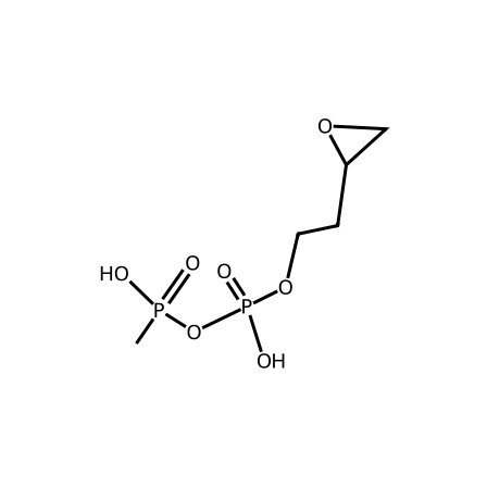 CP(=O)(O)OP(=O)(O)OCCC1CO1